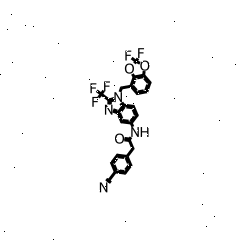 N#Cc1ccc(CC(=O)Nc2ccc3c(c2)nc(C(F)(F)F)n3Cc2cccc3c2OC(F)(F)O3)cc1